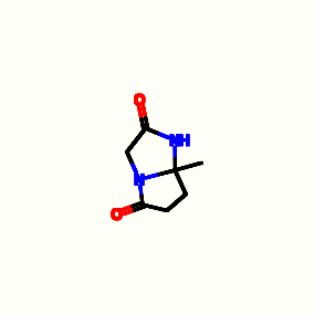 CC12CCC(=O)N1CC(=O)N2